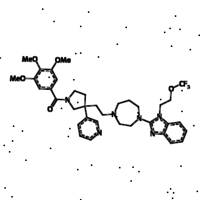 COc1cc(C(=O)N2CCC(CCN3CCCN(c4nc5ccccc5n4CCOC(F)(F)F)CC3)(c3cccnc3)C2)cc(OC)c1OC